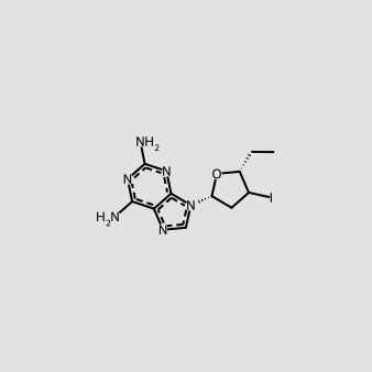 CC[C@H]1O[C@@H](n2cnc3c(N)nc(N)nc32)CC1I